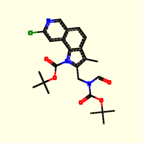 Cc1c(CN(C=O)C(=O)OC(C)(C)C)n(C(=O)OC(C)(C)C)c2c1ccc1cnc(Cl)cc12